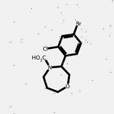 O=C(O)N1CCCOCC1c1ccc(Br)cc1Cl